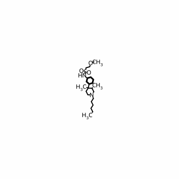 CCCCCCN1CCC(C)(c2cccc(NS(=O)(=O)CCOC)c2)C(C)C1